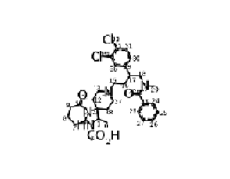 CC(NC(=O)O)C1(N2CCCCC2=O)CCN(CCC(CN(C)C(=O)c2ccccc2)c2ccc(Cl)c(Cl)c2)CC1